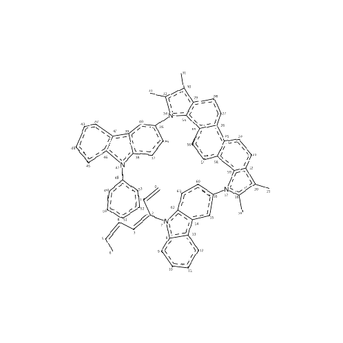 C=C/C(=C\C=C/C)n1c2ccccc2c2cc(-n3c(C)c(C)c4ccc5c6ccc7c(C)c(C)n(-c8ccc9c(c8)c8ccccc8n9-c8ccccc8)c7c6ccc5c43)ccc21